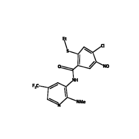 CCSc1cc(Cl)c(N=O)cc1C(=O)Nc1cc(C(F)(F)F)cnc1NC